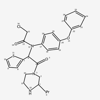 CC(C)C1CN(C(=O)C(c2cccs2)N(C(=O)CCl)c2ccc(Oc3ccccc3)cc2)CCN1